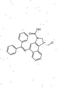 O=C(O)N1C[C@H](CCl)c2c1cc(N=C(c1ccccc1)c1ccccc1)c1ccccc21